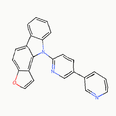 c1cncc(-c2ccc(-n3c4ccccc4c4ccc5occc5c43)nc2)c1